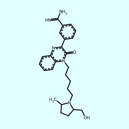 CC1CCC(CO)N1CCCCCn1c(=O)c(-c2cccc(C(=N)N)c2)nc2ccccc21